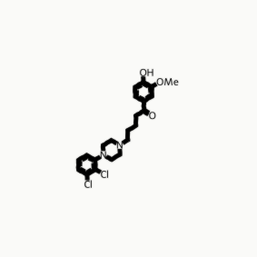 COc1cc(C(=O)CCCCN2CCN(c3cccc(Cl)c3Cl)CC2)ccc1O